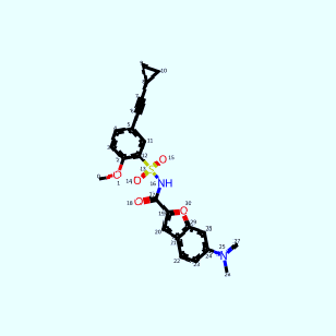 COc1ccc(C#CC2CC2)cc1S(=O)(=O)NC(=O)c1cc2ccc(N(C)C)cc2o1